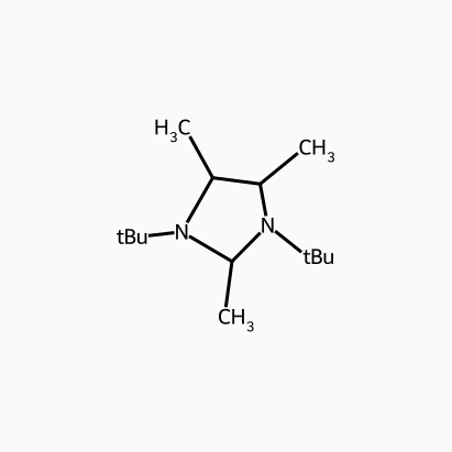 CC1C(C)N(C(C)(C)C)C(C)N1C(C)(C)C